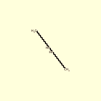 CCCCCCCCCCCCCCCCPCCCPCCCCCCCCCCCCCCCC